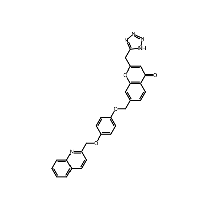 O=c1cc(Cc2nnn[nH]2)oc2cc(COc3ccc(OCc4ccc5ccccc5n4)cc3)ccc12